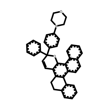 C1=CC(c2ccccc2)(c2ccc(N3CCOCC3)cc2)Oc2c1c1c(c3ccc4ccccc4c23)-c2ccccc2CC1